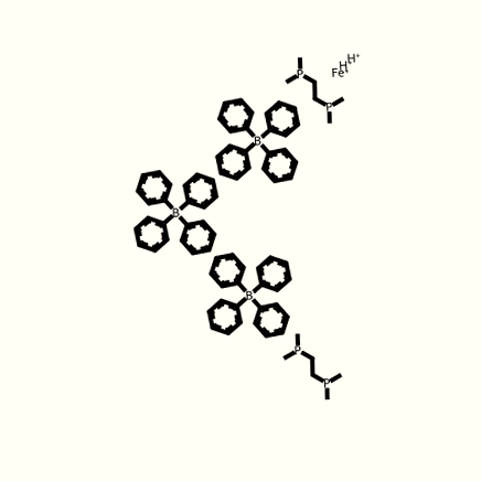 CP(C)CCP(C)C.CP(C)CCP(C)C.[Fe+].[H+].[H+].c1ccc([B-](c2ccccc2)(c2ccccc2)c2ccccc2)cc1.c1ccc([B-](c2ccccc2)(c2ccccc2)c2ccccc2)cc1.c1ccc([B-](c2ccccc2)(c2ccccc2)c2ccccc2)cc1